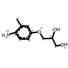 Cc1cc(OCC(O)CO)ccc1N